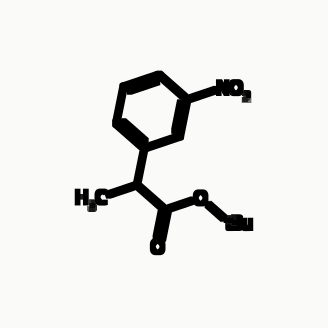 CC(C(=O)OC(C)(C)C)c1cccc([N+](=O)[O-])c1